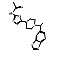 CC(=O)Nc1nnc(N2CCN(C(C)c3ccc4ncoc4c3)CC2)s1